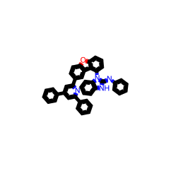 c1ccc(/N=c2\[nH]c3ccccc3n2-c2cccc3oc4ccc(-c5cc(-c6ccccc6)cc(-c6ccccc6)n5)cc4c23)cc1